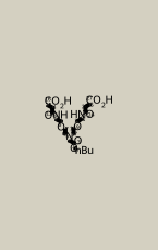 CCCCOC(=O)CN(CCOCCNC(=O)CCC(=O)O)CCOCCNC(=O)CCC(=O)O